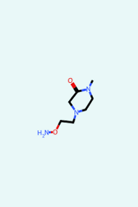 CN1CCN(CCON)CC1=O